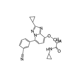 COc1ccc(-c2cccc(C#N)c2)n2nc(C3CC3)nc12.O=C(O)NC1CC1